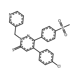 CS(=O)(=O)c1ccc(-c2nn(Cc3cccnc3)c(=S)cc2-c2ccc(Cl)cc2)cc1